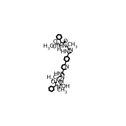 COC(=O)N[C@@H](C(=O)N[C@@H](C)c1ncc(-c2ccc(-c3ccc(-c4cnc([C@H](C)NC(=O)[C@@H](c5ccccc5)N(C)C(=O)O)[nH]4)cn3)cc2)[nH]1)c1ccccc1